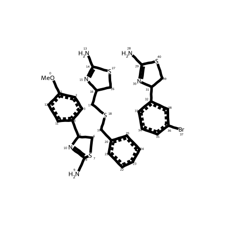 COc1ccc(C2CSC(N)=N2)cc1.NC1=NC(CSCc2ccccc2)CS1.NC1=NC(c2cccc(Br)c2)CS1